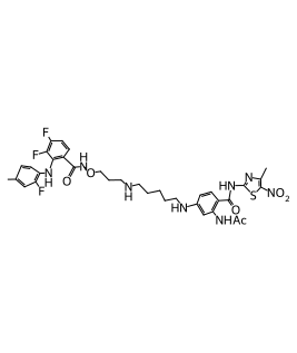 CC(=O)Nc1cc(NCCCCCNCCCONC(=O)c2ccc(F)c(F)c2Nc2ccc(C)cc2F)ccc1C(=O)Nc1nc(C)c([N+](=O)[O-])s1